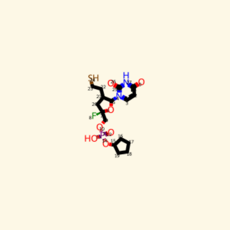 O=c1ccn(C2O[C@](F)(COP(=O)(O)OC3CCCC3)CC2CCS)c(=O)[nH]1